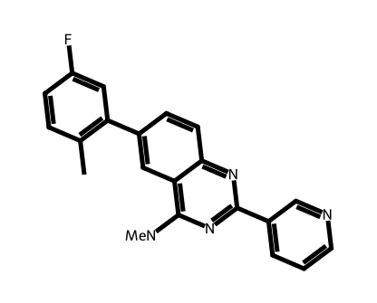 CNc1nc(-c2cccnc2)nc2ccc(-c3cc(F)ccc3C)cc12